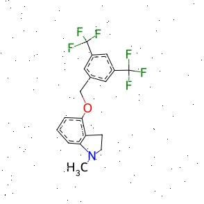 CN1CCc2c(OCc3cc(C(F)(F)F)cc(C(F)(F)F)c3)cccc21